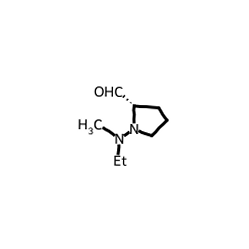 CCN(C)N1CCC[C@H]1C=O